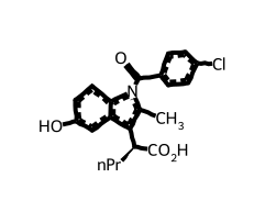 CCC[C@H](C(=O)O)c1c(C)n(C(=O)c2ccc(Cl)cc2)c2ccc(O)cc12